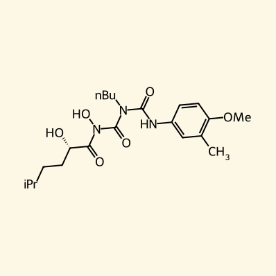 CCCCN(C(=O)Nc1ccc(OC)c(C)c1)C(=O)N(O)C(=O)[C@@H](O)CCC(C)C